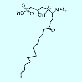 CCCCCCCCCCCCC(=O)CCC(N)[N+](C)(C)CC(O)CS(=O)(=O)O